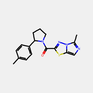 Cc1ccc(C2CCCN2C(=O)c2nn3c(C)ncc3s2)cc1